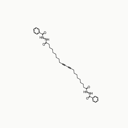 O=C(CCCCCCCCC#CC#CCCCCCCCCC(=O)NNC(=O)c1ccccc1)NNC(=O)c1ccccc1